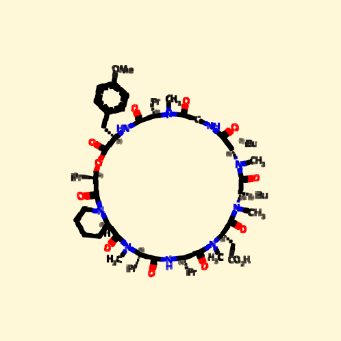 CC[C@H](C)[C@H]1C(=O)NCC(=O)N(C)[C@@H](C(C)C)C(=O)N[C@@H](Cc2ccc(OC)cc2)C(=O)O[C@H](C(C)C)C(=O)N2CCCC[C@H]2C(=O)N(C)[C@@H](C(C)C)C(=O)N[C@@H](C(C)C)C(=O)N(C)[C@@H](CC(=O)O)C(=O)N(C)[C@@H]([C@@H](C)CC)C(=O)N1C